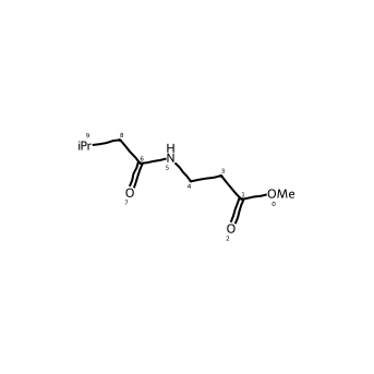 COC(=O)CCNC(=O)CC(C)C